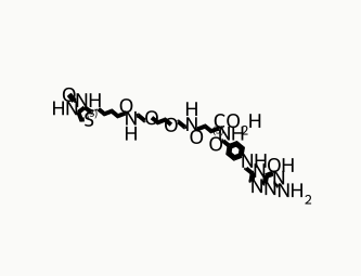 Nc1nc(O)c2nc(CNc3ccc(C(=O)N[C@@H](CCC(=O)NCCOCCOCCNC(=O)CCCC[C@@H]4SCC5NC(=O)NC54)C(=O)O)cc3)cnc2n1